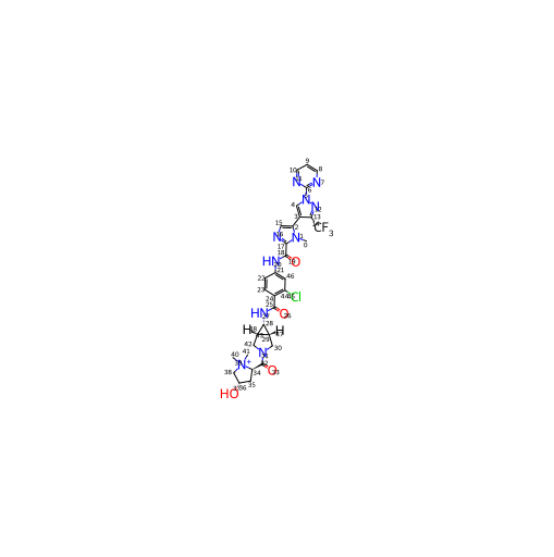 Cn1c(-c2cn(-c3ncccn3)nc2C(F)(F)F)cnc1C(=O)Nc1ccc(C(=O)N[C@@H]2[C@@H]3CN(C(=O)[C@H]4C[C@H](O)C[N+]4(C)C)C[C@@H]32)c(Cl)c1